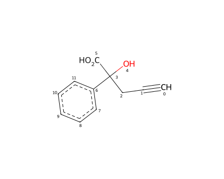 C#CCC(O)(C(=O)O)c1ccccc1